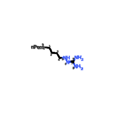 CCCCCCCCCNN=C(N)N